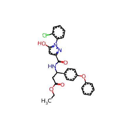 CCOC(=O)CC(NC(=O)c1cc(O)n(-c2ccccc2Cl)n1)c1ccc(Oc2ccccc2)cc1